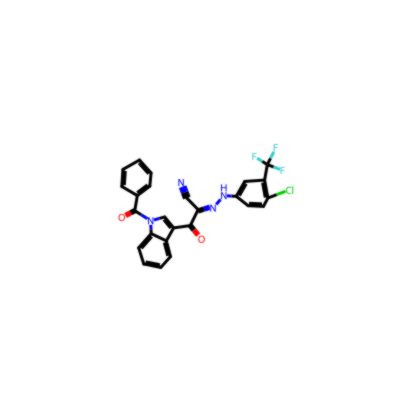 N#C/C(=N\Nc1ccc(Cl)c(C(F)(F)F)c1)C(=O)c1cn(C(=O)c2ccccc2)c2ccccc12